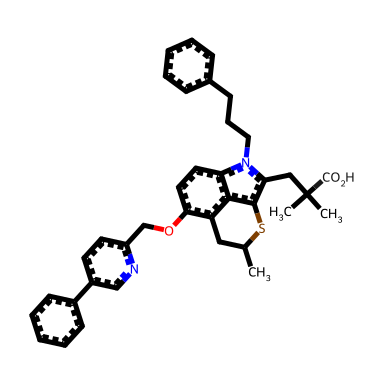 CC1Cc2c(OCc3ccc(-c4ccccc4)cn3)ccc3c2c(c(CC(C)(C)C(=O)O)n3CCCc2ccccc2)S1